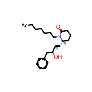 CC(=O)CCCCCCN1C(=O)CCC[C@@H]1/C=C/C(O)Cc1ccccc1